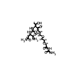 CC(O)C(NC(=O)NC(CC(N)=O)C(N)=O)C(=O)NCCOCCOCC(=O)NC(N)=O